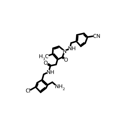 Cc1ccn(NCc2ccc(C#N)cc2)c(=O)c1CC(=O)NCc1cc(Cl)ccc1CN